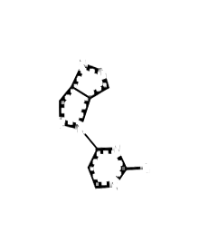 Clc1nccc(-n2scc3nncc2-3)n1